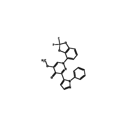 COc1cn(-c2cccc3c2OC(F)(F)O3)nc(-c2ccnn2-c2ccccc2)c1=O